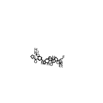 CCC(=O)O[C@]1(C(=O)CCF)CC[C@H]2[C@@H]3CCC4=Cc5c(cnn5-c5cccc(C(=O)N6CCC[C@@H]6C(N)=O)c5)C[C@]4(C)[C@@]3(F)[C@@H](O)C[C@@]21C